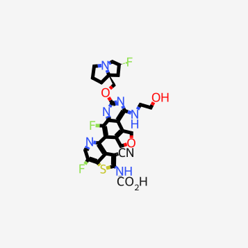 N#Cc1c(NC(=O)O)sc2c(F)cnc(-c3c4c(c5c(NCCO)nc(OC[C@@]67CCCN6C[C@H](F)C7)nc5c3F)COC4)c12